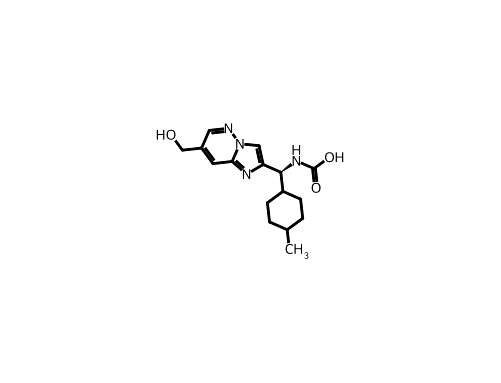 CC1CCC([C@H](NC(=O)O)c2cn3ncc(CO)cc3n2)CC1